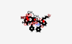 CC(=O)O[C@@H]1C(=O)[C@@]2(C)[C@H](O)C[C@@H]3OC[C@]3(OC(C)=O)[C@@H]2[C@@H](OC(=O)c2ccccc2)[C@@]2(O)C[C@@H](OC(=O)[C@@H](OC(=O)CCCCBr)[C@H](NC(=O)c3ccccc3)c3ccccc3)C(C)=C1C2(C)C